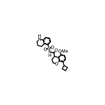 COc1ccc(C2CCC2)c2c1C(C(=O)NS(=O)(=O)c1cccc3c1CCCN3)CCO2